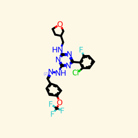 Fc1cccc(Cl)c1-c1nc(NCC2CCOC2)nc(N/N=C\c2ccc(OC(F)(F)F)cc2)n1